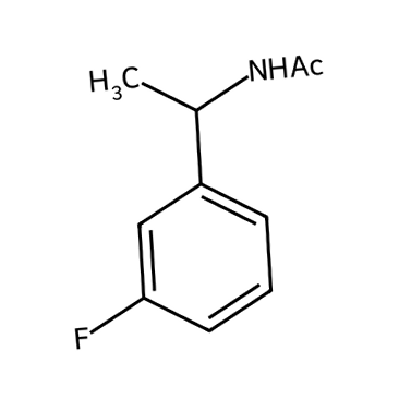 CC(=O)NC(C)c1cccc(F)c1